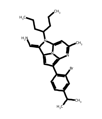 CCCC(CCC)n1c(=CN)c2cc(-c3ccc(C(C)C)cc3Br)c3nc(C)cc1n32